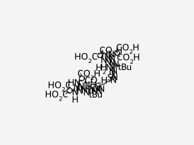 CC(C)(C)c1nn(-c2nc(Nc3cc(C(=O)O)cc(C(=O)O)c3)nc(Nc3cc(C(=O)O)cc(C(=O)O)c3)n2)c(N)c1N=Nc1nnc(CCCCc2nnc(N=Nc3c(C(C)(C)C)nn(-c4nc(Nc5cc(C(=O)O)cc(C(=O)O)c5)nc(Nc5cc(C(=O)O)cc(C(=O)O)c5)n4)c3N)s2)s1